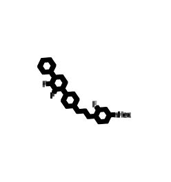 CCCCCCC1CCC(CCCC2CCC(C3CCC(C4CCCCC4)C(F)C3F)CC2)C(F)C1